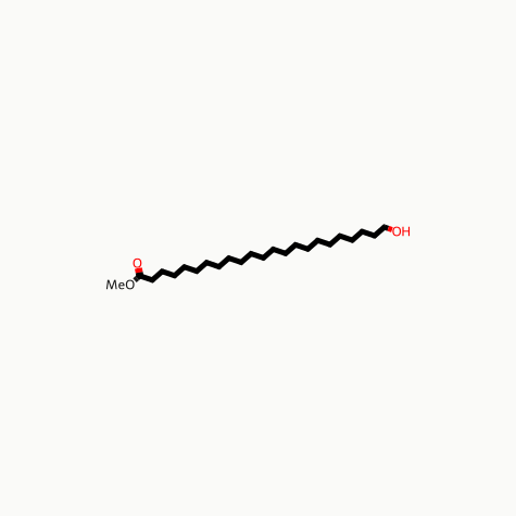 COC(=O)CCCCCCCCCCCCCCCCCCCCCCO